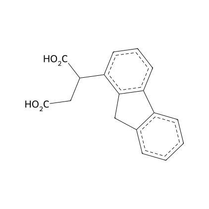 O=C(O)CC(C(=O)O)c1cccc2c1Cc1ccccc1-2